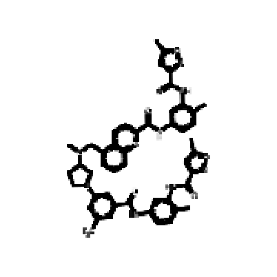 Cc1cc(C(=O)Nc2cc(NC(=O)c3cc(N4CCC(N(C)Cc5cccc6nc(C(=O)Nc7ccc(C)c(NC(=O)c8cc(C)on8)c7)ccc56)C4)cc(C(F)(F)F)c3)ccc2C)no1